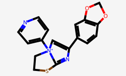 C1=C(c2ccc3c(c2)OCO3)N=C2SCC[N+]12c1ccncc1